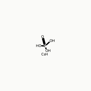 O=P(O)(O)O.[CsH]